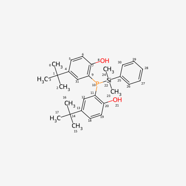 CC(C)(C)c1ccc(O)c(P(c2cc(C(C)(C)C)ccc2O)[Si](C)(C)c2ccccc2)c1